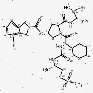 CCC[C@H](NC(=O)[C@@H]1C[C@@H](OC(=O)N2Cc3cccc(F)c3C2)CN1C(=O)[C@@H](NC(=O)N[C@H](CNS(C)(=O)=O)C(C)(C)C)C1CCCCC1)B(O)O